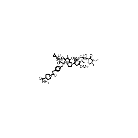 CC[C@H](C)[C@@H]([C@@H](CC(=O)N1CCC[C@H]1[C@H](OC)[C@@H](C)C(=O)N[C@@H](Cc1ccc(CC(=O)N2CCC(C(N)=O)CC2)cc1)C(=O)NS(=O)(=O)C1CC1)OC)N(C)C(=O)[C@@H](NC(=O)[C@H](C(C)C)N(C)C)C(C)C